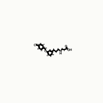 O=C(O)CCNCCCc1cccc(OCc2ccc(Cl)cc2)c1